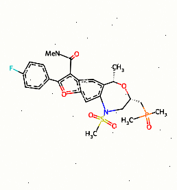 CNC(=O)c1c(-c2ccc(F)cc2)oc2cc3c(cc12)[C@H](C)O[C@H](CP(C)(C)=O)CN3S(C)(=O)=O